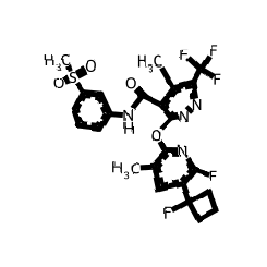 Cc1cc(C2(F)CCC2)c(F)nc1Oc1nnc(C(F)(F)F)c(C)c1C(=O)Nc1cccc(S(C)(=O)=O)c1